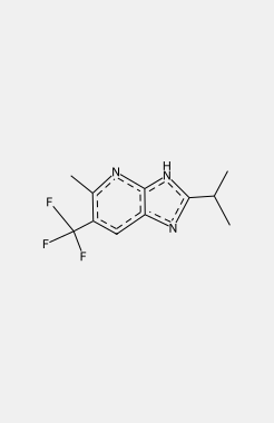 Cc1nc2[nH]c(C(C)C)nc2cc1C(F)(F)F